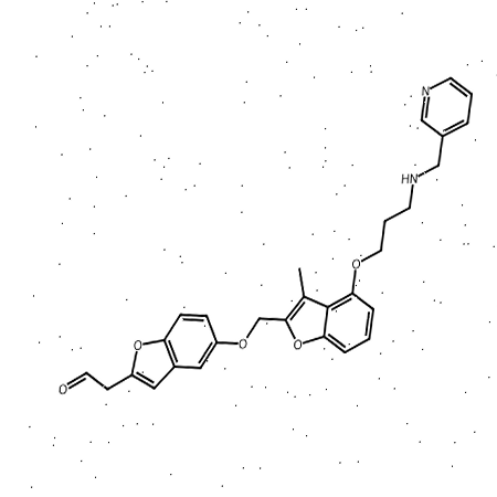 Cc1c(COc2ccc3oc(CC=O)cc3c2)oc2cccc(OCCCNCc3cccnc3)c12